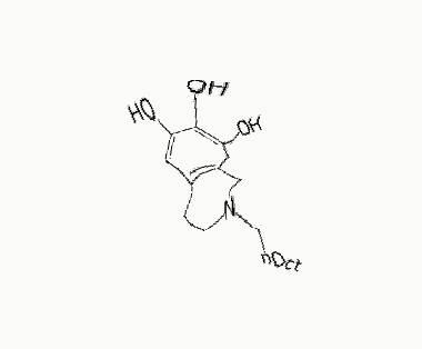 CCCCCCCCCN1CCc2cc(O)c(O)c(O)c2C1